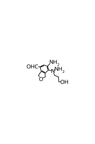 Nc1cc(C=O)c2c(c1N(N)CCCO)COC2